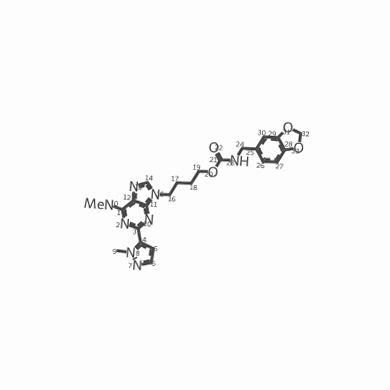 CNc1nc(-c2ccnn2C)nc2c1ncn2CCCCOC(=O)NCc1ccc2c(c1)OCO2